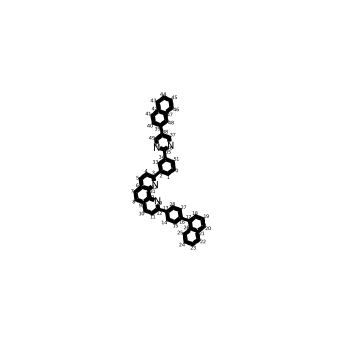 c1cc(-c2ccc3ccc4ccc(-c5ccc(-c6cccc7ccccc67)cc5)nc4c3n2)cc(-c2ncc(-c3ccc4ccccc4c3)cn2)c1